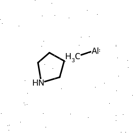 C1CCNC1.[CH3][Al]